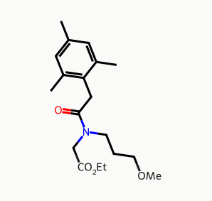 CCOC(=O)CN(CCCOC)C(=O)Cc1c(C)cc(C)cc1C